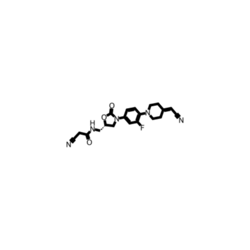 N#CC=C1CCN(c2ccc(N3C[C@H](CNC(=O)CC#N)OC3=O)cc2F)CC1